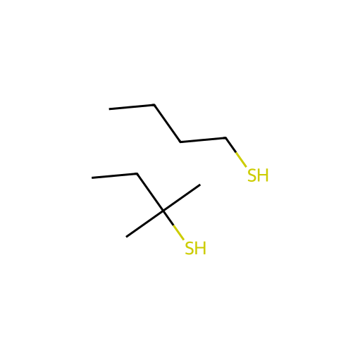 CCC(C)(C)S.CCCCS